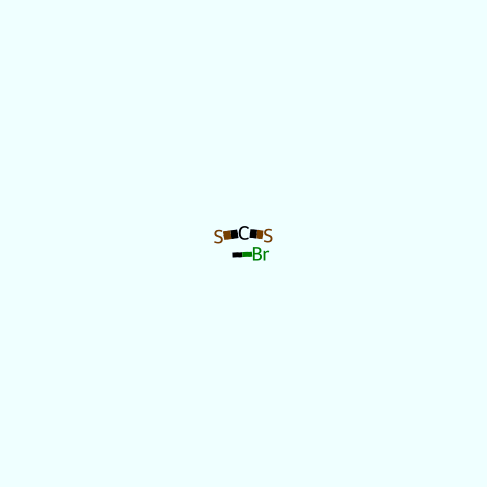 CBr.S=C=S